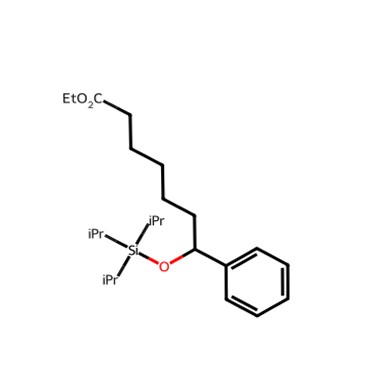 CCOC(=O)CCCCCC(O[Si](C(C)C)(C(C)C)C(C)C)c1ccccc1